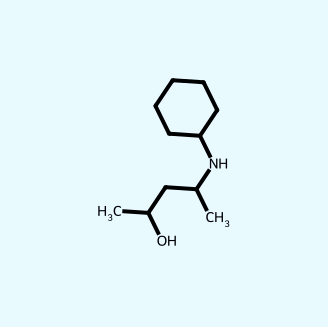 CC(O)CC(C)NC1CCCCC1